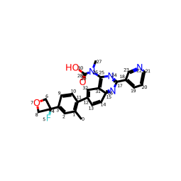 Cc1cc(C2(F)COC2)ccc1-c1ccc2nc(-c3cccnc3)nc(N(C)C(=O)O)c2c1